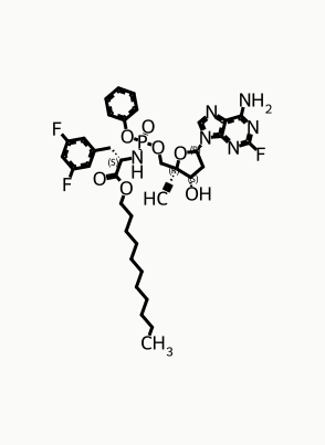 C#C[C@]1(COP(=O)(N[C@@H](Cc2cc(F)cc(F)c2)C(=O)OCCCCCCCCCCC)Oc2ccccc2)O[C@@H](n2cnc3c(N)nc(F)nc32)C[C@@H]1O